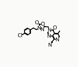 Cc1cnc(C#N)c2ncn(Cc3nn(CCc4ccc(Cl)cc4)c(=O)o3)c(=O)c12